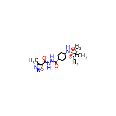 Cc1nnsc1C(=O)NNC(=O)[C@H]1CC[C@H](NS(=O)(=O)C(C)(C)C)CC1